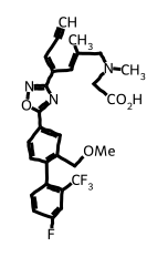 C#C/C=C(\C=C(/C)CN(C)CC(=O)O)c1noc(-c2ccc(-c3ccc(F)cc3C(F)(F)F)c(COC)c2)n1